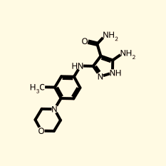 Cc1cc(Nc2n[nH]c(N)c2C(N)=O)ccc1N1CCOCC1